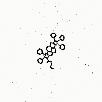 C=C(/C=C\C=C/C)c1c(-c2ccccc2)n(-c2ccccc2)c2c1cc1ccc3c4c(ccc2c14)cc1c(-c2ccccc2)c(-c2ccccc2)n(-c2ccccc2)c13